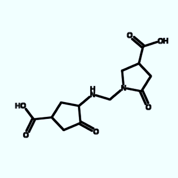 O=C(O)C1CC(=O)C(NCN2CC(C(=O)O)CC2=O)C1